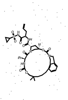 C=CCC(NC(=O)[C@@H]1C[C@@H]2CN1C(=O)[C@H](C(C)C)NC(=O)OCC(C)(C)CCCc1cccc3c1CN(C3)C(=O)O2)C(=O)NS(=O)(=O)C1CC1